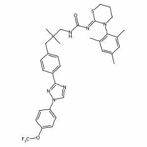 Cc1cc(C)c(N2CCCS/C2=N\C(=O)NCC(C)(C)Cc2ccc(-c3ncn(-c4ccc(OC(F)(F)F)cc4)n3)cc2)c(C)c1